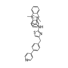 CC12CC(C)(C(=O)Nc3nc(Cc4ccc(-c5ccncc5)cc4)cs3)C(c3ccccc31)c1ccccc12